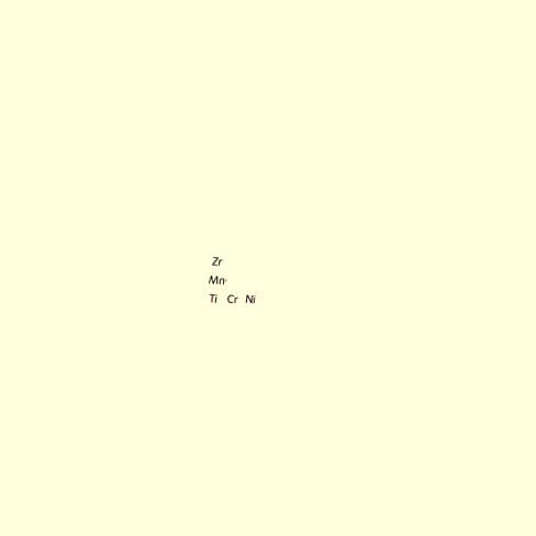 [Cr].[Mn].[Ni].[Ti].[Zr]